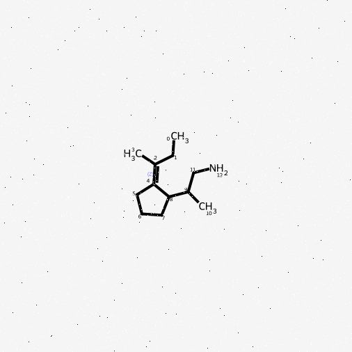 CC/C(C)=C1/CCCC1C(C)CN